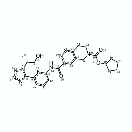 C[C@H](CO)n1nnnc1-c1cccc(NC(=O)c2cc3c(cn2)CCN(C(=O)OC2CCCC2)C3)n1